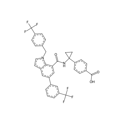 O=C(O)c1ccc(C2(NC(=O)c3cc(-c4cccc(C(F)(F)F)c4)cc4ccn(Cc5ccc(C(F)(F)F)cc5)c34)CC2)cc1